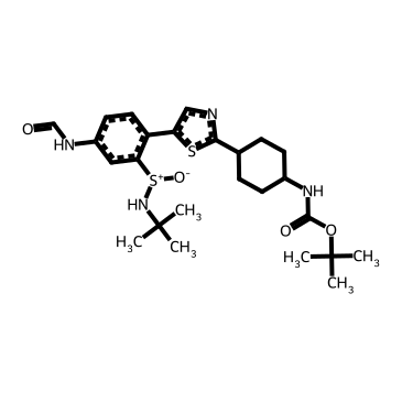 CC(C)(C)N[S+]([O-])c1cc(NC=O)ccc1-c1cnc(C2CCC(NC(=O)OC(C)(C)C)CC2)s1